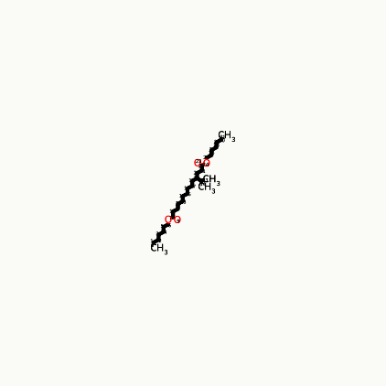 CCCCCCCOC(=O)CCCCCCCCCC(CCC(=O)OCCCCCCC)C(C)C